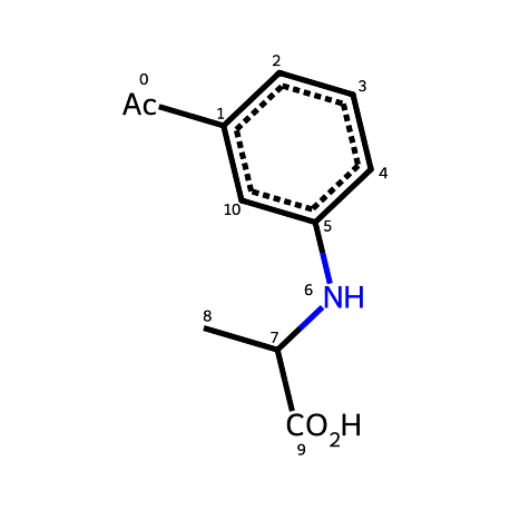 CC(=O)c1cccc(NC(C)C(=O)O)c1